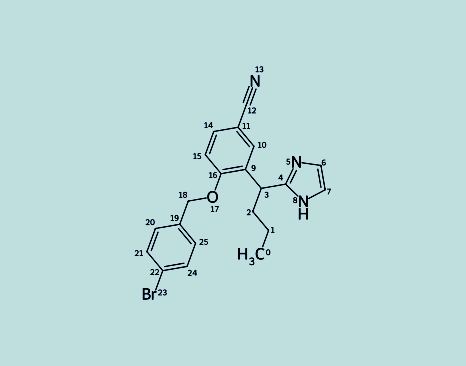 CCCC(c1ncc[nH]1)c1cc(C#N)ccc1OCc1ccc(Br)cc1